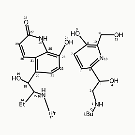 CC(C)(C)NCC(O)c1ccc(O)c(CO)n1.CCC(NC(C)C)C(O)c1ccc(O)c2[nH]c(=O)ccc12